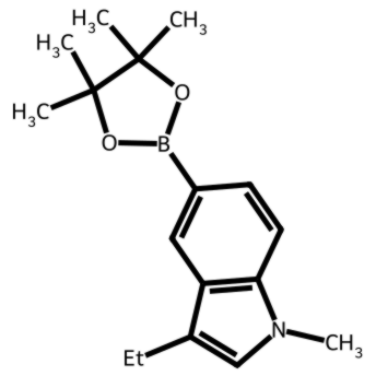 CCc1cn(C)c2ccc(B3OC(C)(C)C(C)(C)O3)cc12